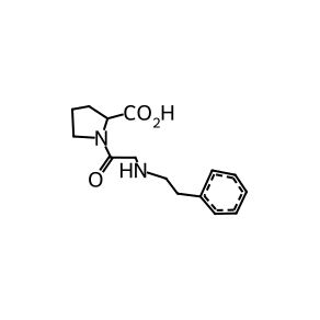 O=C(O)C1CCCN1C(=O)CNCCc1ccccc1